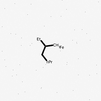 CCCCC(C)CC.[Fe]